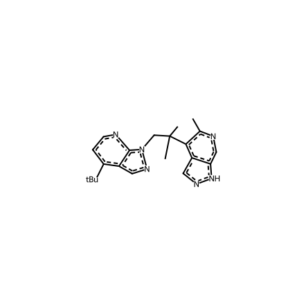 Cc1ncc2[nH]ncc2c1C(C)(C)Cn1ncc2c(C(C)(C)C)ccnc21